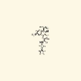 CCc1ncnc(-c2ccc(C(=O)NC3CC(N4CCCC4)C3)c(F)c2)c1-c1ccc(N)nc1